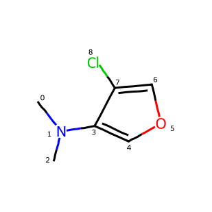 CN(C)c1cocc1Cl